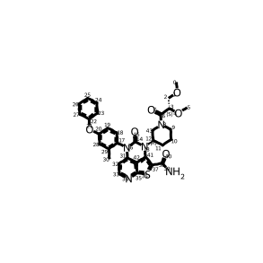 COC[C@H](OC)C(=O)N1CCC[C@@H](N2C(=O)N(c3ccc(Oc4ccccc4)cc3C)c3ccnc4sc(C(N)=O)c2c34)C1